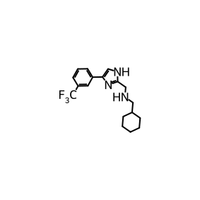 FC(F)(F)c1cccc(-c2c[nH]c(CNCC3CCCCC3)n2)c1